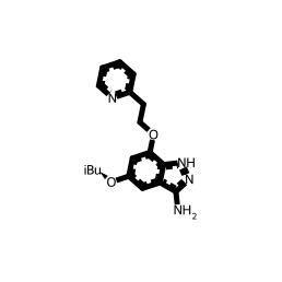 CC[C@H](C)Oc1cc(OCCc2ccccn2)c2[nH]nc(N)c2c1